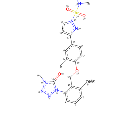 COc1cccc(-n2nnn(C)c2=O)c1COc1ccc(-c2ccn(S(=O)(=O)N(C)C)n2)cc1C